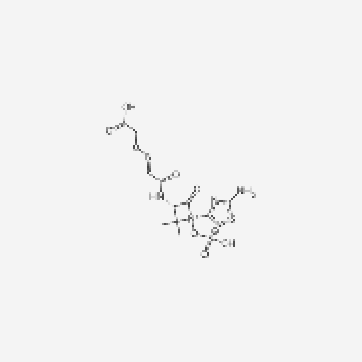 CC1(C)[C@H](NC(=O)C=NOCC(=O)O)C(=O)[N+]1(OS(=O)(=O)O)c1csc(N)n1